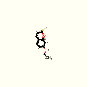 CCOc1ccc2ccc(=S)oc2c1